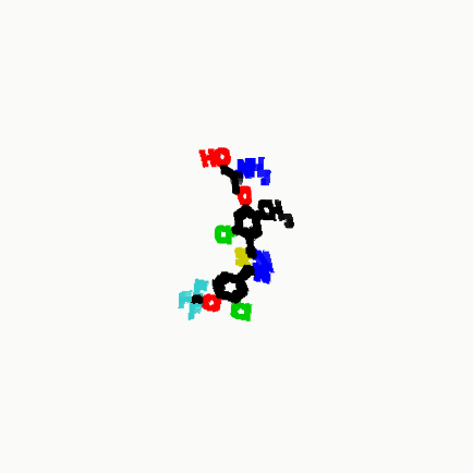 Cc1cc(-c2nnc(-c3ccc(OC(F)(F)F)c(Cl)c3)s2)c(Cl)cc1OC[C@H](N)CO